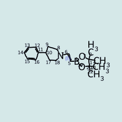 CC1(C)OB(/C=C/N2CCC(c3ccccc3)CC2)OC1(C)C